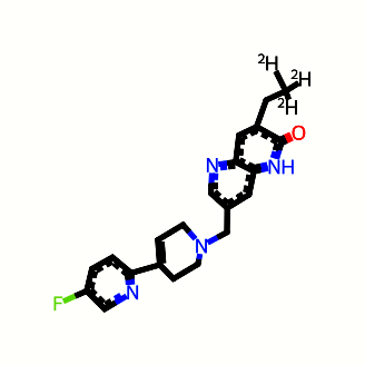 [2H]C([2H])([2H])Cc1cc2ncc(CN3CC=C(c4ccc(F)cn4)CC3)cc2[nH]c1=O